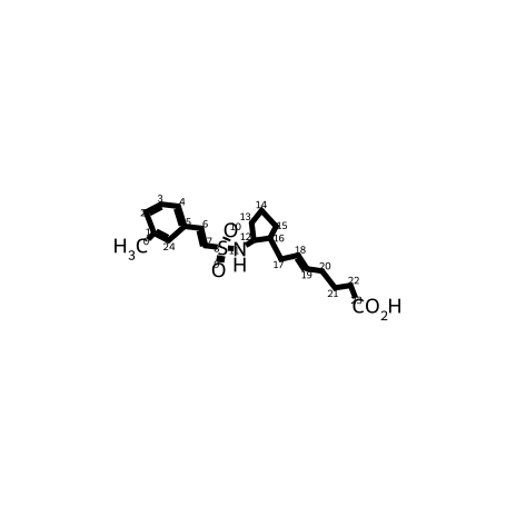 Cc1cccc(C=CS(=O)(=O)NC2CCCC2CC=CCCCC(=O)O)c1